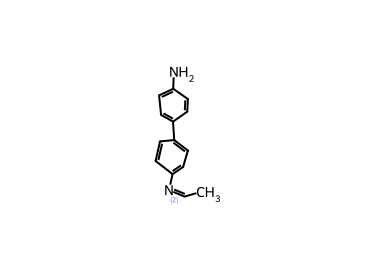 C/C=N\c1ccc(-c2ccc(N)cc2)cc1